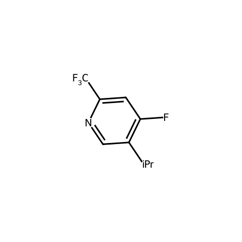 CC(C)c1cnc(C(F)(F)F)cc1F